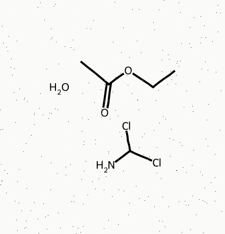 CCOC(C)=O.NC(Cl)Cl.O